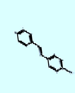 O=Nc1ccc(C=Cc2ccccc2)cc1